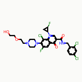 O=C(NCc1ccc(Cl)cc1Cl)c1cn([C@H]2C[C@H]2F)c2c(Cl)c(N3CCN(CCOCCO)CC3)c(F)cc2c1=O